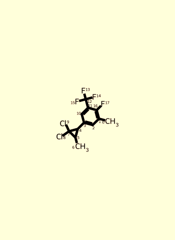 Cc1cc(C2C(C)C2(Cl)Cl)cc(C(F)(F)F)c1F